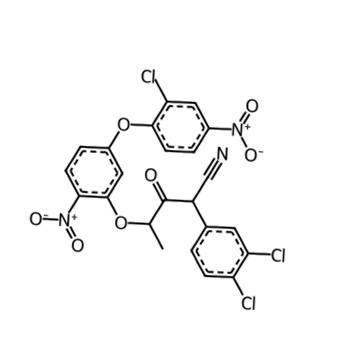 CC(Oc1cc(Oc2ccc([N+](=O)[O-])cc2Cl)ccc1[N+](=O)[O-])C(=O)C(C#N)c1ccc(Cl)c(Cl)c1